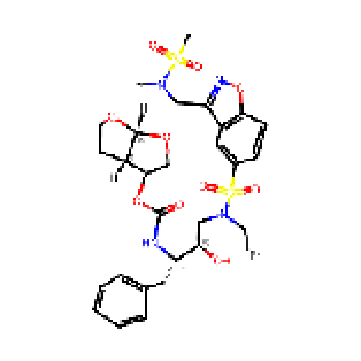 CC(C)CN(C[C@@H](O)[C@H](Cc1ccccc1)NC(=O)OC1CO[C@H]2OCC[C@@H]12)S(=O)(=O)c1ccc2onc(CN(C)S(C)(=O)=O)c2c1